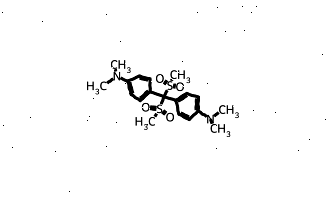 CN(C)c1ccc(C(c2ccc(N(C)C)cc2)(S(C)(=O)=O)S(C)(=O)=O)cc1